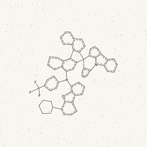 FC(F)(F)c1ccc(N(c2cc3c(c4ccccc24)-c2c(ccc4ccccc24)C32c3ccccc3-n3c4ccccc4c4cccc2c43)c2cccc3c2oc2c(C4CCCCC4)cccc23)cc1